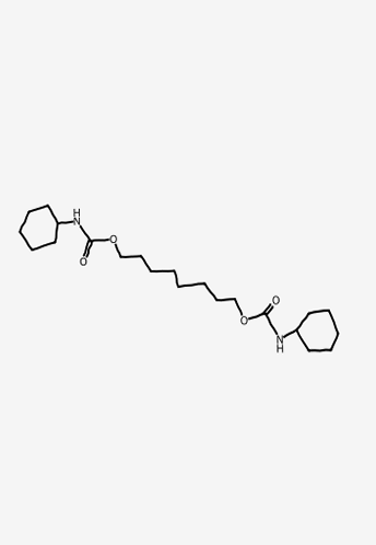 O=C(NC1CCCCC1)OCCCCCCCCOC(=O)NC1CCCCC1